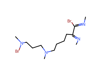 CN=C(Br)C(CCCCN(C)CCCN(C)Br)=NC